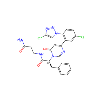 NC(=O)CCNC(=O)[C@H](Cc1ccccc1)n1cnc(-c2cc(Cl)ccc2-n2cc(Cl)nn2)cc1=O